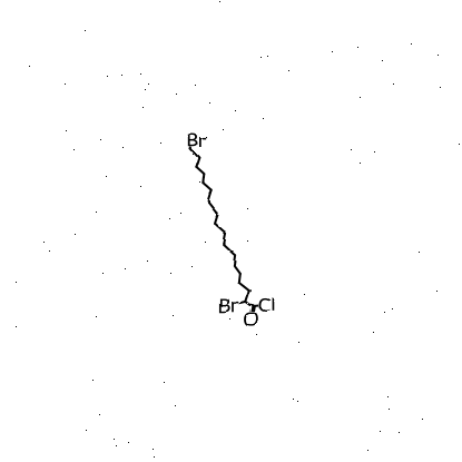 O=C(Cl)C(Br)CCCCCCCCCCCCCCCCBr